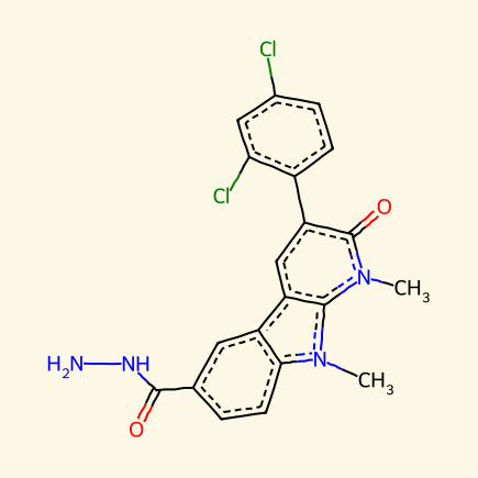 Cn1c(=O)c(-c2ccc(Cl)cc2Cl)cc2c3cc(C(=O)NN)ccc3n(C)c21